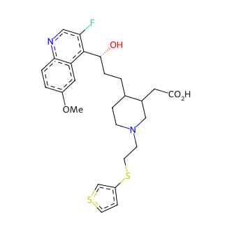 COc1ccc2ncc(F)c([C@H](O)CCC3CCN(CCSc4ccsc4)CC3CC(=O)O)c2c1